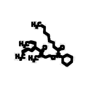 C\C=C/C=C(\C=C/C)C(=O)N(C)CCON(C(=O)CCCCCCC)C1CCCCC1